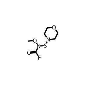 CON(SN1CCOCC1)C(=O)F